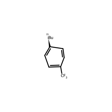 CC[C@H](C)c1ccc(C(F)(F)F)cc1